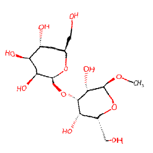 CO[C@H]1O[C@H](CO)[C@H](O)[C@H](O[C@@H]2O[C@H](CO)[C@@H](O)[C@H](O)[C@@H]2O)[C@@H]1O